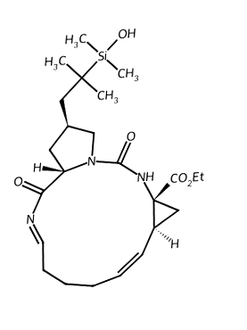 CCOC(=O)[C@@]12C[C@H]1/C=C\CCC/C=N/C(=O)[C@@H]1C[C@@H](CC(C)(C)[Si](C)(C)O)CN1C(=O)N2